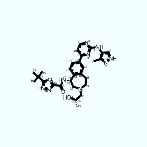 Cc1n[nH]cc1Nc1nccc(-c2ccc3c(c2)CCN(C[C@H](C)O)C[C@@H]3NC(=O)c2nnc(C(C)(C)C)o2)n1